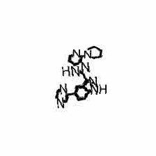 c1cnc(-c2ccc3[nH]nc(-c4nc5c(N6CCCCC6)nccc5[nH]4)c3c2)cn1